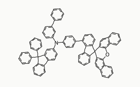 c1ccc(-c2cccc(N(c3ccc(-c4cccc5c4-c4ccccc4C54c5ccc6ccccc6c5Oc5c4ccc4ccccc54)cc3)c3ccc4c(c3)C(c3ccccc3)(c3ccccc3)c3ccccc3-4)c2)cc1